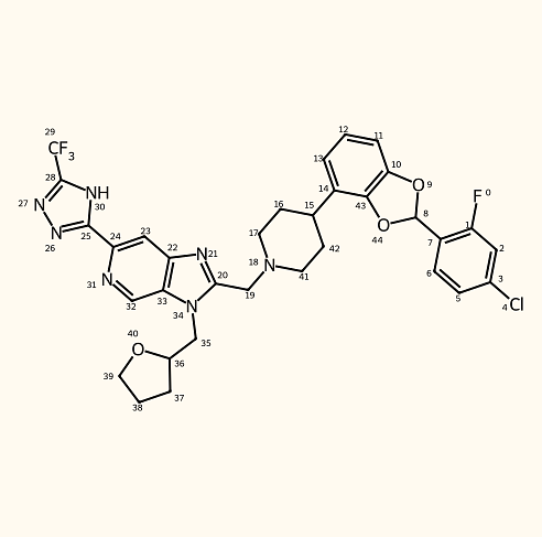 Fc1cc(Cl)ccc1C1Oc2cccc(C3CCN(Cc4nc5cc(-c6nnc(C(F)(F)F)[nH]6)ncc5n4CC4CCCO4)CC3)c2O1